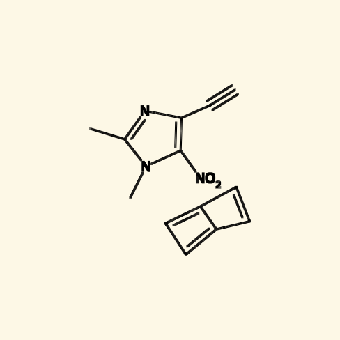 C#Cc1nc(C)n(C)c1[N+](=O)[O-].c1cc2ccc1-2